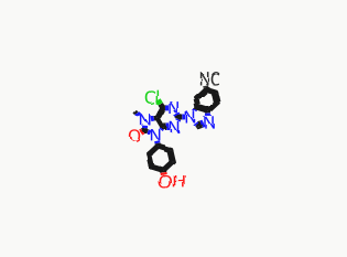 [C-]#[N+]c1ccc2ncn(-c3nc(Cl)c4c(n3)n(C3CCC(O)CC3)c(=O)n4C)c2c1